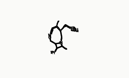 CC(C)C1C(C)N2C[C@H](CC(C)(C)C)[C@H](C)/C=N\CC12